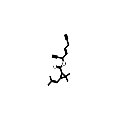 C#CC/C=C/C(C#C)OC(=O)C1C(C=C(C)C)C1(C)C